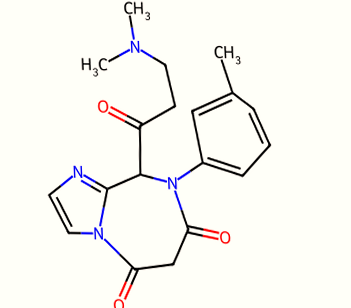 Cc1cccc(N2C(=O)CC(=O)n3ccnc3C2C(=O)CCN(C)C)c1